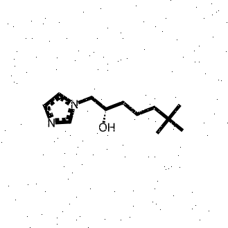 CC(C)(C)CCC[C@H](O)Cn1ccnc1